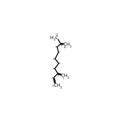 C=CC(=C)CCCCCC(=C)C